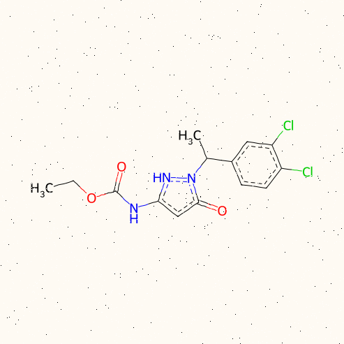 CCOC(=O)Nc1cc(=O)n(C(C)c2ccc(Cl)c(Cl)c2)[nH]1